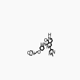 Cc1ncc(-c2cc3cc[nH]c(=O)c3c(Nc3ccc(OCCN4CCOCC4)cc3)n2)cn1